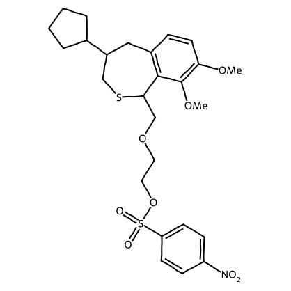 COc1ccc2c(c1OC)C(COCCOS(=O)(=O)c1ccc([N+](=O)[O-])cc1)SCC(C1CCCC1)C2